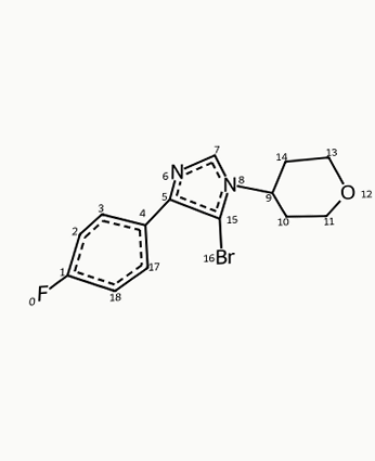 Fc1ccc(-c2ncn(C3CCOCC3)c2Br)cc1